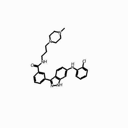 CN1CCN(CCCNC(=O)c2cccc(-c3n[nH]c4cc(Nc5ccccc5Cl)ccc34)c2)CC1